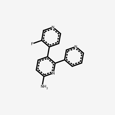 Nc1ccc(-c2ccncc2F)c(-c2cccnc2)n1